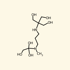 CN(CCCNC(CO)(CO)CO)C(O)(O)CO